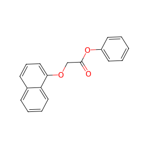 O=C(COc1cccc2ccccc12)Oc1ccccc1